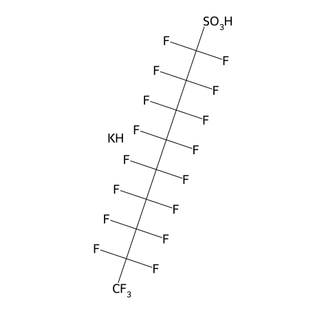 O=S(=O)(O)C(F)(F)C(F)(F)C(F)(F)C(F)(F)C(F)(F)C(F)(F)C(F)(F)C(F)(F)C(F)(F)F.[KH]